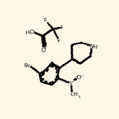 C[S+]([O-])c1ccc(Br)cc1C1CCNCC1.O=C(O)C(F)(F)F